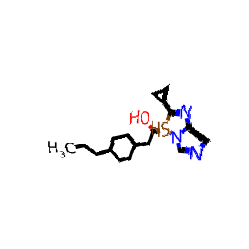 CCCC1CCC(CC(O)[SH]2C(C3CC3)=Nc3cncn32)CC1